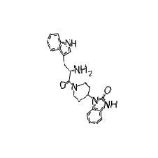 NC(Cc1c[nH]c2ccccc12)C(=O)N1CCC(n2c(=O)[nH]c3ccccc32)CC1